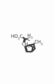 C=C(C)C(=O)O.CC1CC2C=CC1C2